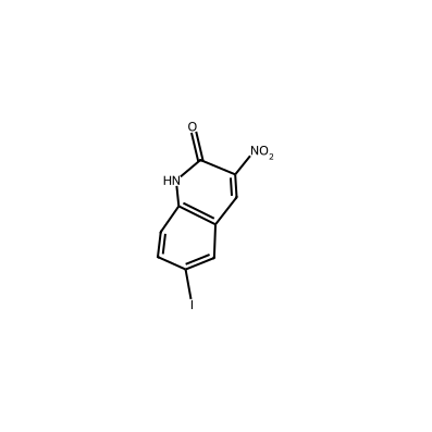 O=c1[nH]c2ccc(I)cc2cc1[N+](=O)[O-]